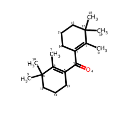 CC1=C(C(=O)C2=C(C)C(C)(C)CCC2)CCCC1(C)C